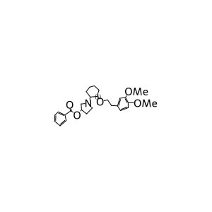 COc1ccc(CCO[C@H]2CCCCC2N2CCC(OC(=O)c3ccccc3)C2)cc1OC